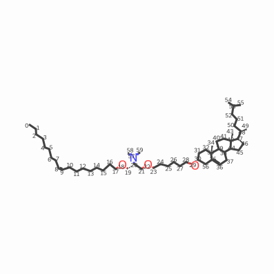 CCCCCCCC/C=C\CCCCCCCCOC[C@@H](COCCCCCCO[C@H]1CC[C@@]2(C)C(=CCC3C2CC[C@@]2(C)C3CC[C@@H]2[C@H](C)CCCC(C)C)C1)N(C)C